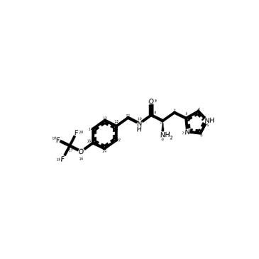 N[C@H](Cc1c[nH]cn1)C(=O)NCc1ccc(OC(F)(F)F)cc1